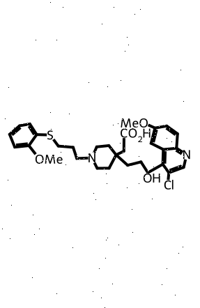 COc1ccc2ncc(Cl)c(C(O)CCC3(CC(=O)O)CCN(CCCSc4ccccc4OC)CC3)c2c1